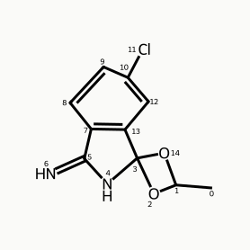 CC1OC2(NC(=N)c3ccc(Cl)cc32)O1